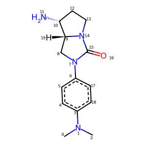 CN(C)c1ccc(N2C[C@@H]3[C@H](N)CCN3C2=O)cc1